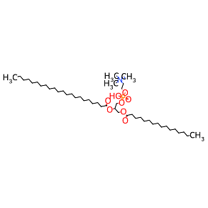 CCCCCCCCCCCCCCCCCCCCCC(=O)OC(COC(=O)CCCCCCCCCCCCCCC)COP(=O)(O)OCC[N+](C)(C)C